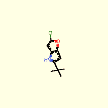 CC(C)(C)c1cc2oc(Cl)cc2[nH]1